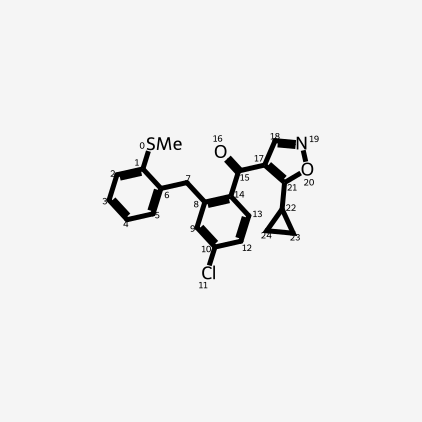 CSc1ccccc1Cc1cc(Cl)ccc1C(=O)c1cnoc1C1CC1